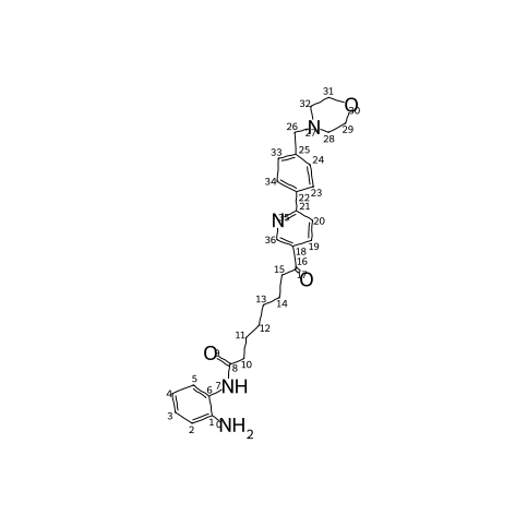 Nc1ccccc1NC(=O)CCCCCCC(=O)c1ccc(-c2ccc(CN3CCOCC3)cc2)nc1